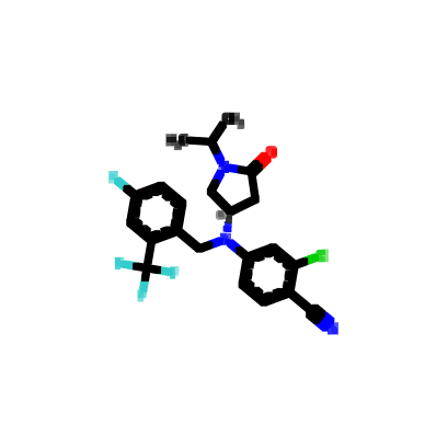 CC(C)N1C[C@@H](N(Cc2ccc(F)cc2C(F)(F)F)c2ccc(C#N)c(Cl)c2)CC1=O